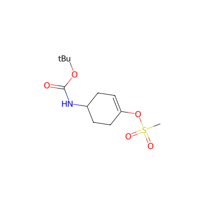 CC(C)(C)OC(=O)NC1CC=C(OS(C)(=O)=O)CC1